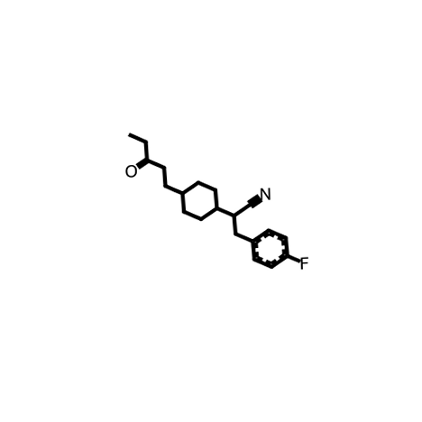 CCC(=O)CCC1CCC(C(C#N)Cc2ccc(F)cc2)CC1